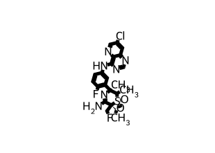 CC[C@]1(CF)C(N)=N[C@](C)(c2cc(Nc3ncnc4cc(Cl)cnc34)ccc2F)C(C)S1(=O)=O